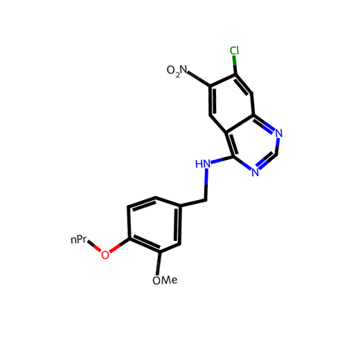 CCCOc1ccc(CNc2ncnc3cc(Cl)c([N+](=O)[O-])cc23)cc1OC